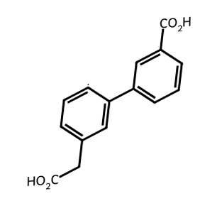 O=C(O)Cc1cc[c]c(-c2cccc(C(=O)O)c2)c1